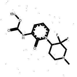 CN1CCC(n2cccc(NC(=O)OC(C)(C)C)c2=O)C(F)(F)C1